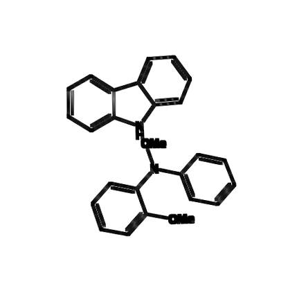 COc1ccccc1N(OC)c1ccccc1.c1ccc2c(c1)[nH]c1ccccc12